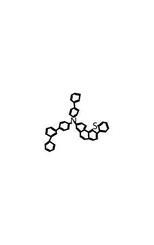 c1ccc(-c2ccc(N(c3ccc(-c4cccc(-c5ccccc5)c4)cc3)c3ccc4c(ccc5ccc6c7ccccc7sc6c54)c3)cc2)cc1